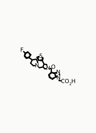 O=C(O)Cn1cnc2c(C(=O)N3CC(CN4CCC(c5ccc(F)cc5)CC4)C(c4ccsc4)C3)cccc21